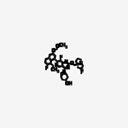 CCc1c(F)ccc2cc(OCOC)cc(-c3ncc4c(N5CC6CC(O)CC5C6)nc(OC[C@@]56CCCN5C[C@H](F)C6)nc4c3F)c12